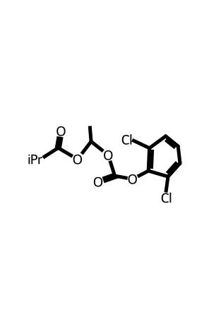 CC(OC(=O)Oc1c(Cl)cccc1Cl)OC(=O)C(C)C